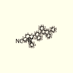 N#Cc1cc2ccc3cc(-c4ccc(-c5cc6c7ccccc7c(-c7ccccc7)cc6c6ccccc56)c5ccccc45)cc4c3c2c(c1)n4-c1ccccc1